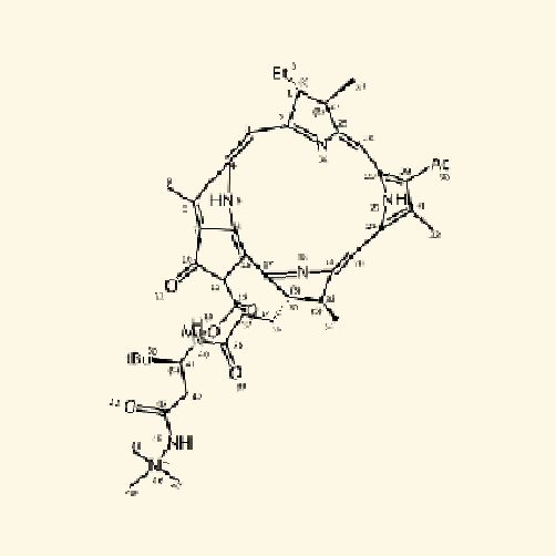 CC[C@H]1c2cc3[nH]c4c(c3C)C(=O)C(C(=O)OC)c4c3nc(cc4[nH]c(cc(n2)[C@@H]1C)c(C(C)=O)c4C)[C@@H](C)[C@@H]3CCC(=O)N[C@@H](CC(=O)N[N+](C)(C)C)C(C)(C)C